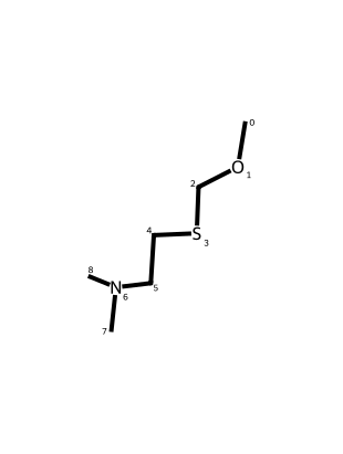 COCSCCN(C)C